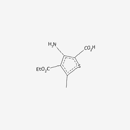 CCOC(=O)c1c(C)sc(C(=O)O)c1N